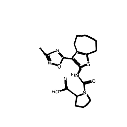 Cc1noc(-c2c(NC(=O)N3CCCC3C(=O)O)sc3c2CCCCC3)n1